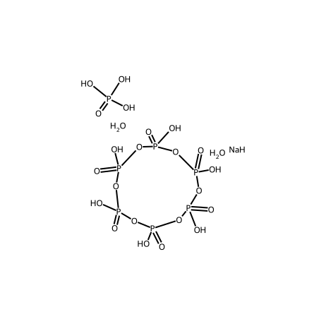 O.O.O=P(O)(O)O.O=P1(O)OP(=O)(O)OP(=O)(O)OP(=O)(O)OP(=O)(O)OP(=O)(O)O1.[NaH]